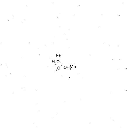 O.O.O.[Mo].[Re]